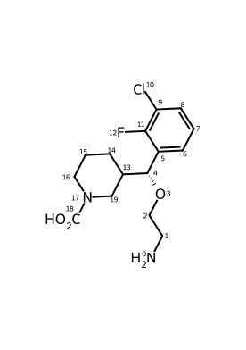 NCCO[C@@H](c1cccc(Cl)c1F)C1CCCN(C(=O)O)C1